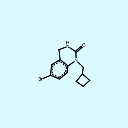 O=C1NCc2cc(Br)ccc2N1CC1CCC1